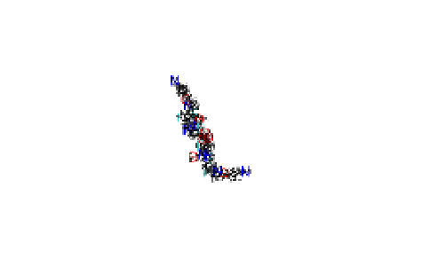 COCCn1c(Cc2cc(F)c(-c3cccc(OCc4ccc(C#N)cc4)n3)cc2F)nc2ccc(C(=O)OC(=O)c3ccc4nc(Cc5cc(F)c(-c6cccc(OCc7ccc(C#N)cc7)n6)cc5F)n(CCOC)c4c3F)c(F)c21